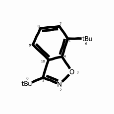 CC(C)(C)c1noc2c(C(C)(C)C)cccc12